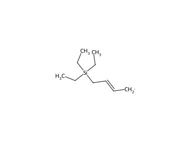 [CH2]C=CC[Si](CC)(CC)CC